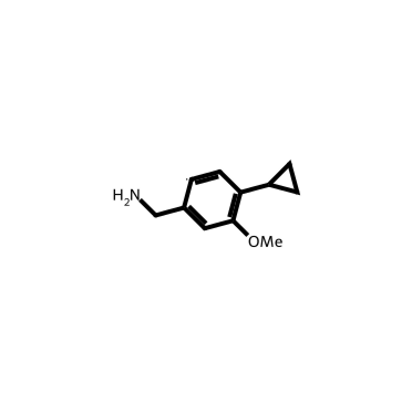 COc1cc(CN)[c]cc1C1CC1